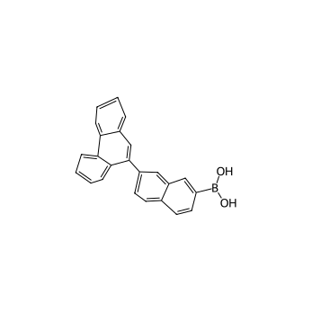 OB(O)c1ccc2ccc(-c3cc4ccccc4c4ccccc34)cc2c1